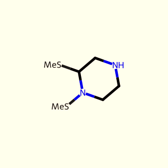 CSC1CNCCN1SC